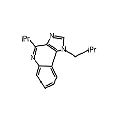 CC(C)Cn1cnc2c(C(C)C)nc3ccccc3c21